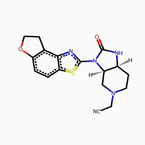 N#CCN1CC[C@@H]2NC(=O)N(c3nc4c5c(ccc4s3)OCC5)[C@@H]2C1